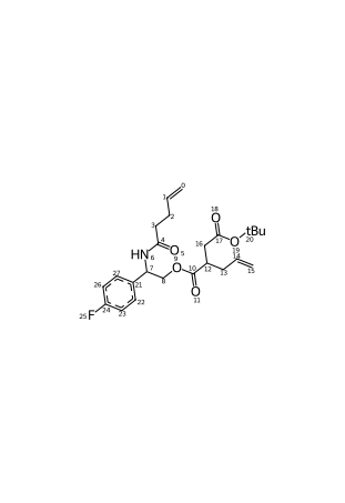 C=CCCC(=O)NC(COC(=O)C(CC=C)CC(=O)OC(C)(C)C)c1ccc(F)cc1